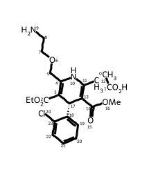 CC(=O)O.CCOC(=O)C1=C(COCCN)NC(C)=C(C(=O)OC)[C@@H]1c1ccccc1Cl